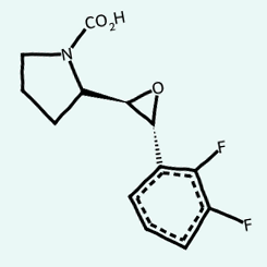 O=C(O)N1CCCC1[C@H]1O[C@@H]1c1cccc(F)c1F